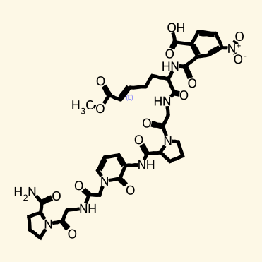 COC(=O)/C=C/CCC(NC(=O)c1cc([N+](=O)[O-])ccc1C(=O)O)C(=O)NCC(=O)N1CCCC1C(=O)Nc1cccn(CC(=O)NCC(=O)N2CCCC2C(N)=O)c1=O